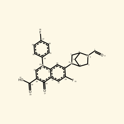 O=CN1CC2CC1CN2c1cc2c(cc1F)c(=O)c(C(=O)O)cn2-c1ccc(F)cc1